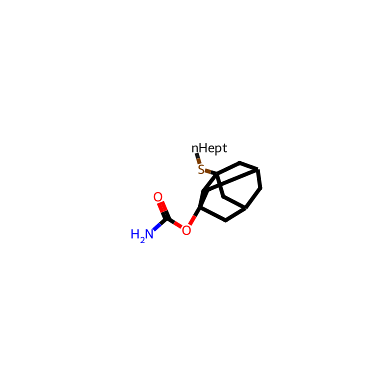 CCCCCCCSC12CC3CC(CC(OC(N)=O)(C3)C1)C2